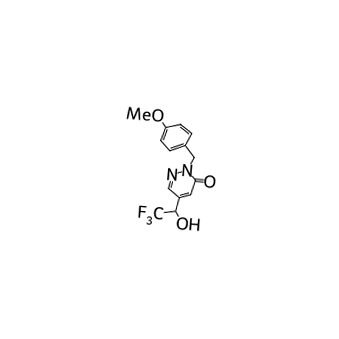 COc1ccc(Cn2ncc(C(O)C(F)(F)F)cc2=O)cc1